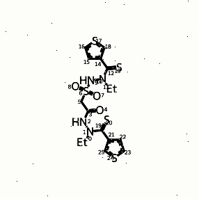 CCN(NC(=O)CS(=O)(=O)NN(CC)C(=S)c1ccsc1)C(=S)c1ccsc1